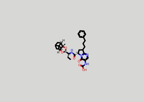 CC[C@H](NC(=O)[C@@H]1CC(CCCc2ccccc2)c2ncc(NC(=O)O)c(=O)n21)B1O[C@@H]2CC3C[C@@H](C3(C)C)[C@]2(C)O1